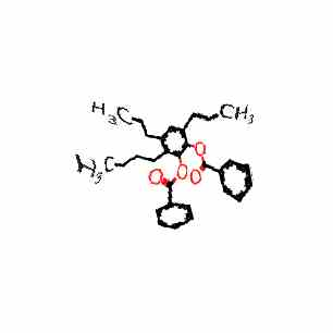 CCCCc1c(CCC)cc(CCC)c(OC(=O)c2ccccc2)c1OC(=O)c1ccccc1